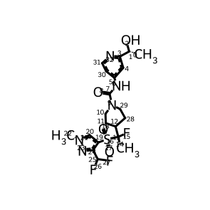 C[C@@H](O)c1cc(NC(=O)N2CCC(C(C)(F)S(=O)(=O)c3cn(C)nc3C(F)F)CC2)ccn1